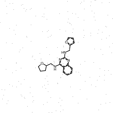 c1coc(CNc2nc(NCC3CCCO3)c3ccccc3n2)c1